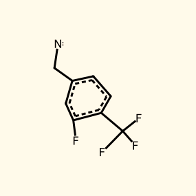 [N]Cc1ccc(C(F)(F)F)c(F)c1